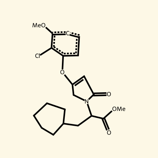 COC(=O)C(CC1CCCCC1)N1CC(Oc2cccc(OC)c2Cl)=CC1=O